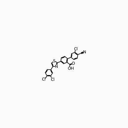 N#Cc1ccc(-c2ccc(-c3nc(-c4ccc(Cl)c(Cl)c4)cs3)cc2C(=O)O)cc1Cl